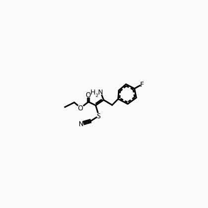 CCOC(=O)/C(SC#N)=C(\N)Cc1ccc(F)cc1